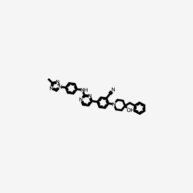 Cc1ncn(-c2ccc(Nc3nccc(-c4ccc(N5CCC(O)(Cc6ccccc6)CC5)c(C#N)c4)n3)cc2)n1